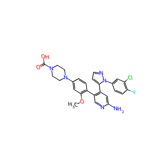 COc1cc(N2CCN(C(=O)O)CC2)ccc1-c1cnc(N)cc1-c1ccnn1-c1ccc(F)c(Cl)c1